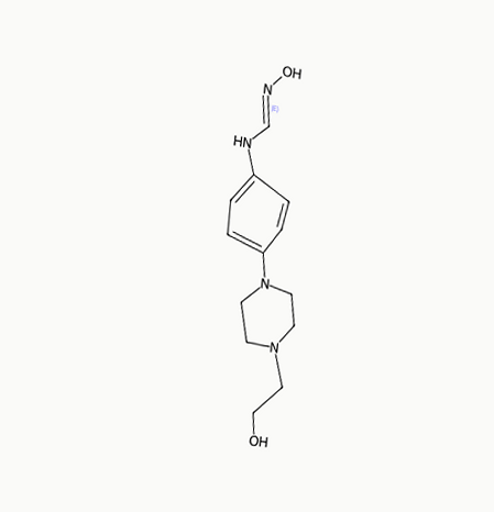 OCCN1CCN(c2ccc(N/C=N/O)cc2)CC1